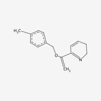 C=C(OCc1ccc(C)cc1)C1=NCCC=C1